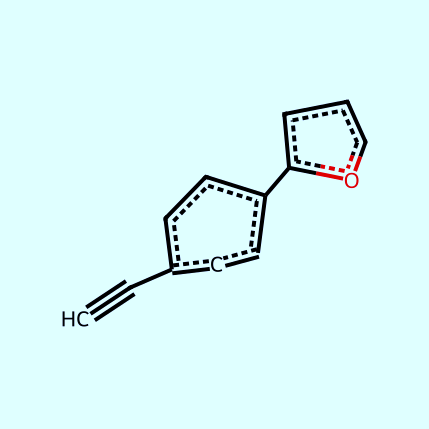 C#Cc1ccc(-c2ccco2)cc1